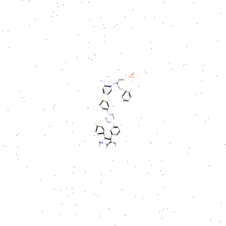 Cc1c(C(=O)O)c(-c2cccc(N3CCN(c4ccc(Sc5ccc(NC(CCOP(=O)(O)O)CSc6ccccc6)c([N+](=O)[O-])c5)cc4)CC3)c2)c(-c2ccc(Cl)cc2)n1C(C)C